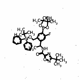 CC(NC(=O)c1nc(C(C)(C)C)no1)c1cc(F)c(B2OC(C)(C)C(C)(C)O2)cc1CO[Si](c1ccccc1)(c1ccccc1)C(C)(C)C